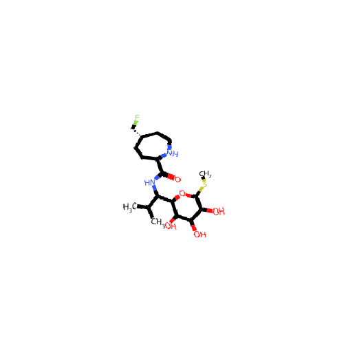 CSC1OC(C(NC(=O)C2CC[C@H](CF)CCN2)C(C)C)C(O)C(O)C1O